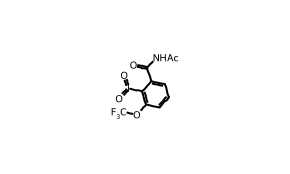 CC(=O)NC(=O)c1cccc(OC(F)(F)F)c1I(=O)=O